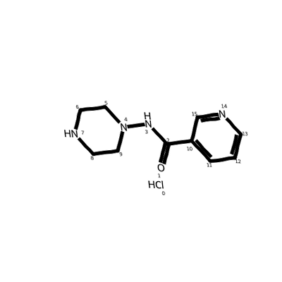 Cl.O=C(NN1CCNCC1)c1cccnc1